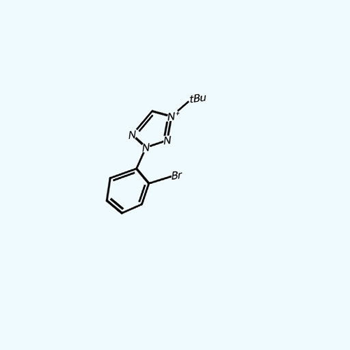 CC(C)(C)[n+]1cnn(-c2ccccc2Br)n1